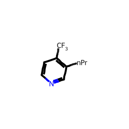 CCCc1cnccc1C(F)(F)F